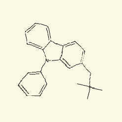 CC(C)(C)Cc1ccc2c3ccccc3n(-c3ccccc3)c2c1